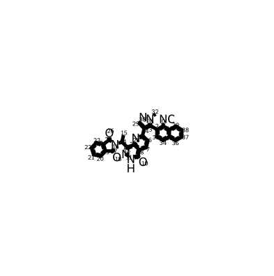 [C-]#[N+]c1c(-c2c(-c3ccc4c(=O)[nH]nc(C(C)N5C(=O)c6ccccc6C5=O)c4n3)cnn2C)ccc2ccccc12